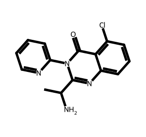 CC(N)c1nc2cccc(Cl)c2c(=O)n1-c1ccccn1